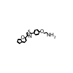 NCCOc1ccc(-c2nc(-c3ccc4cccc-4o3)cs2)cc1